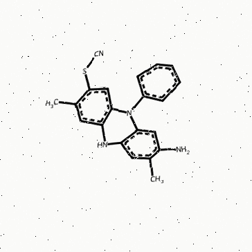 Cc1cc2c(cc1N)N(c1ccccc1)c1cc(SC#N)c(C)cc1N2